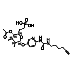 C#CCCCCNC(=O)Nc1ccc(O[C@H]2O[C@H](CCP(=O)(O)O)[C@@H](OC(C)=O)[C@H](C)[C@@H]2C)cn1